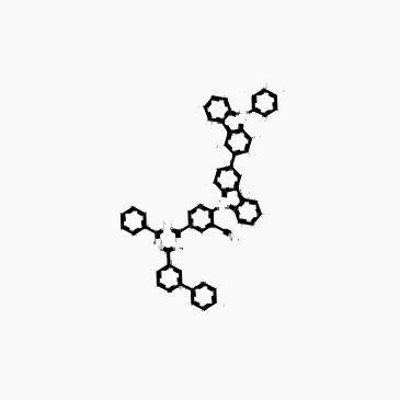 N#Cc1cc(-c2nc(-c3ccccc3)nc(-c3cccc(-c4ccccc4)c3)n2)ccc1-n1c2ccccc2c2cc(-c3ccc4c(c3)c3ccccc3n4-c3ccccc3)ccc21